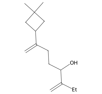 C=C(CC)C(O)CCC(=C)C1CC(C)(C)C1